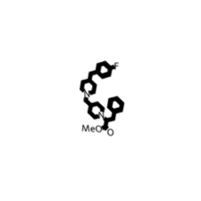 COC(=O)C(Cc1ccccc1)N1CCC(CN2CCC(Cc3ccc(F)cc3)CC2)CC1